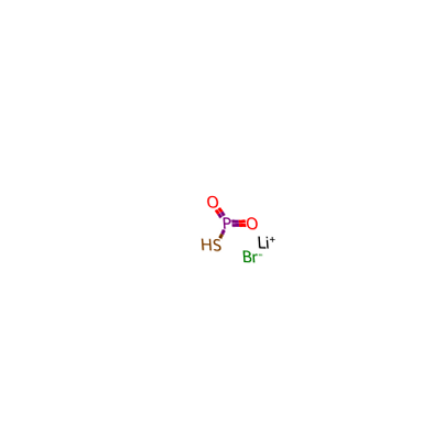 O=P(=O)S.[Br-].[Li+]